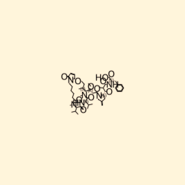 C=C1C[C@@H](C(OC)C(C)C(=O)N[C@@H](Cc2ccccc2)C(=O)O)N(C(=O)C[C@@H](OC)C([C@@H](C)CC)N(C)C(=O)[C@@H](NC(=O)C(C(C)C)N(C)C(=O)CCCCCN2C(=O)C=CC2=O)C(C)C)C1